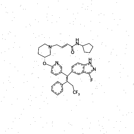 O=C(/C=C/CN1CCC[C@@H](Oc2ccc(/C(=C(/CC(F)(F)F)c3ccccc3)c3ccc4[nH]nc(F)c4c3)cn2)C1)NC1CCCC1